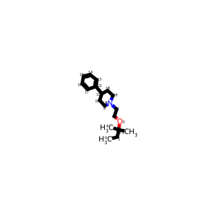 CCC(C)(C)OCCN1CCC(c2ccccc2)CC1